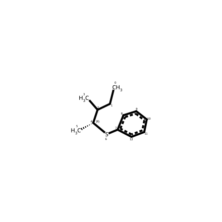 CCC(C)[C@@H](C)Sc1ccccc1